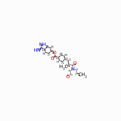 C=CCN(CC=O)C(=O)/C(C)=C/c1ccc(C(=O)Oc2ccc(C(=N)N)cc2)cc1